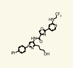 CC(C)c1ccc(-n2cc(NC(=O)c3coc(-c4ccnc(NCC(F)(F)F)c4)n3)c(CCCO)n2)cc1